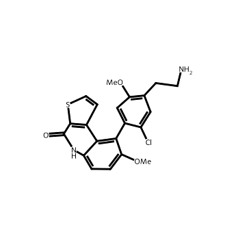 COc1cc(-c2c(OC)ccc3[nH]c(=O)c4sccc4c23)c(Cl)cc1CCN